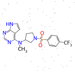 CN(c1ncnc2[nH]ccc12)C1CCN(S(=O)(=O)c2ccc(C(F)(F)F)cc2)C1